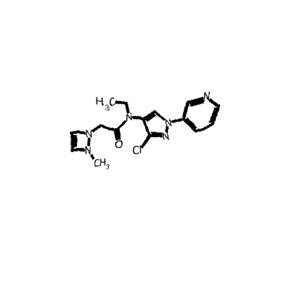 CCN(C(=O)Cn1ccn1C)c1cn(-c2cccnc2)nc1Cl